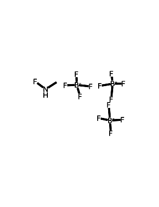 CNF.F[B-](F)(F)F.F[B-](F)(F)F.F[B-](F)(F)F